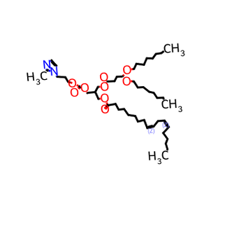 CCCCC/C=C\C/C=C\CCCCCCCC(=O)OCC(COC(=O)CCC(OCCCCCCCC)OCCCCCCCC)COC(=O)OCCCn1ccnc1C